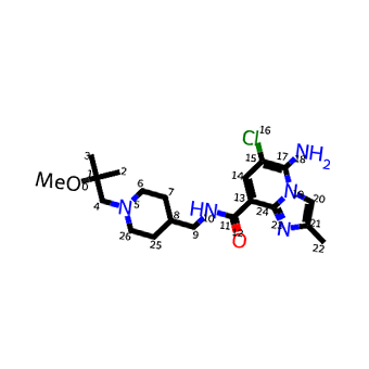 COC(C)(C)CN1CCC(CNC(=O)c2cc(Cl)c(N)n3cc(C)nc23)CC1